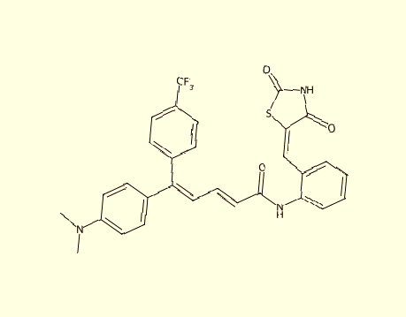 CN(C)c1ccc(C(=CC=CC(=O)Nc2ccccc2C=C2SC(=O)NC2=O)c2ccc(C(F)(F)F)cc2)cc1